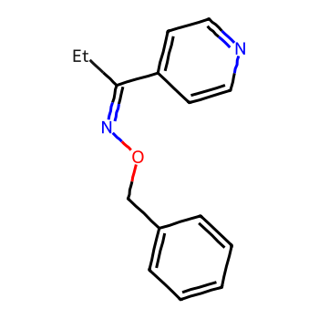 CCC(=NOCc1ccccc1)c1ccncc1